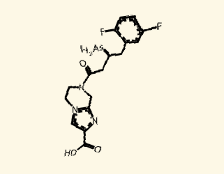 O=C(O)c1cn2c(n1)CN(C(=O)CC([AsH2])Cc1cc(F)ccc1F)CC2